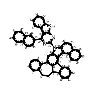 c1ccc2c(c1)CCC1c3ccccc3-c3c1c-2cc1c3c2c3ccccc3ccc2n1-c1nc(-c2ccc3ccccc3c2)c2c(n1)sc1ccccc12